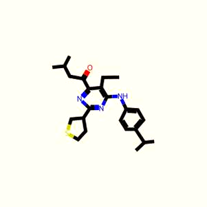 CCc1c(Nc2ccc(C(C)C)cc2)nc(C2CCSC2)nc1C(=O)CC(C)C